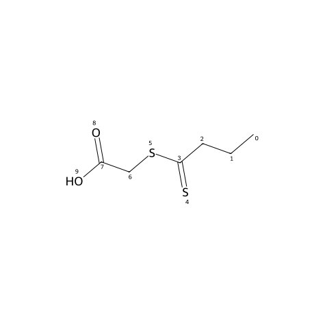 CCCC(=S)SCC(=O)O